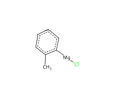 Cc1cccc[c]1[Mg][Cl]